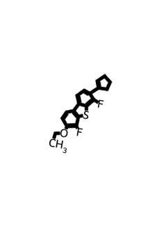 CCOc1ccc2c(sc3c(F)c(C4=CCCC4)ccc32)c1F